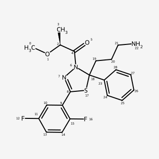 CO[C@@H](C)C(=O)N1N=C(c2cc(F)ccc2F)SC1(CCCN)c1ccccc1